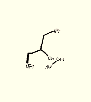 CC(C)CC(O)CC(C)C.OO